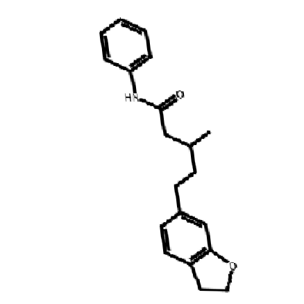 CC(CCc1ccc2c(c1)OCC2)CC(=O)Nc1ccccc1